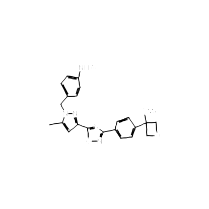 COC1(c2ccc(-c3noc(-c4cc(C)n(Cc5ccc(NC(C)=O)cc5)n4)n3)cc2)COC1